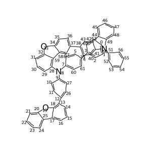 c1ccc(-c2ccc(N(c3ccc(-c4cccc5c4oc4ccccc45)cc3)c3cccc4oc5ccc(-c6ccc7c(c6)c6ccccc6n7-c6ccccc6)cc5c34)cc2)cc1